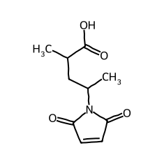 CC(CC(C)N1C(=O)C=CC1=O)C(=O)O